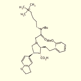 CCCCN(CCCC[N+](C)(C)C)C(=O)CN1C[C@H](c2ccc3c(c2)CCO3)[C@@H](C(=O)O)[C@@H]1CCc1ccccc1OC